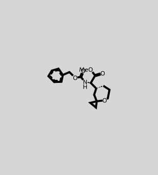 COC(=O)[C@@H](NC(=O)OCc1ccccc1)[C@@H]1CCCOC2(CC2)C1